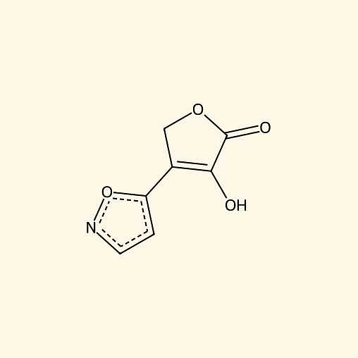 O=C1OCC(c2ccno2)=C1O